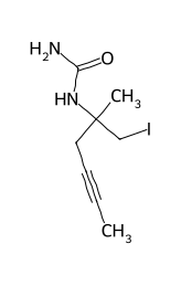 CC#CCC(C)(CI)NC(N)=O